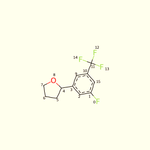 Fc1cc(C2CCCO2)cc(C(F)(F)F)c1